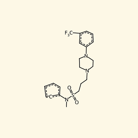 CN(c1ccccc1)S(=O)(=O)CCCN1CCN(c2cccc(C(F)(F)F)c2)CC1